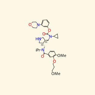 COCCCOc1cc(C(=O)N(C[C@@H]2CNC[C@H]2CN(C(=O)Oc2cccc(N3CCOCC3)c2)C2CC2)C(C)C)ccc1OC